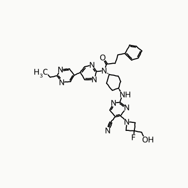 CCc1ncc(-c2cnc(N(C(=O)CCc3ccccc3)[C@H]3CC[C@H](Nc4ncc(C#N)c(N5CC(F)(CO)C5)n4)CC3)nc2)cn1